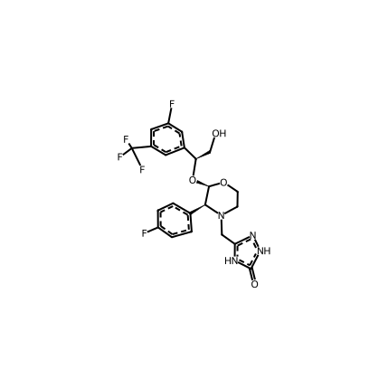 O=c1[nH]nc(CN2CCO[C@H](O[C@H](CO)c3cc(F)cc(C(F)(F)F)c3)[C@@H]2c2ccc(F)cc2)[nH]1